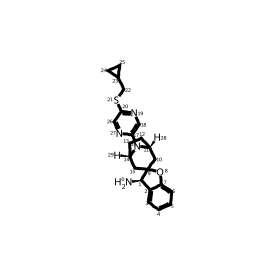 N[C@@H]1c2ccccc2OC12C[C@H]1CC[C@@H](C2)N1c1cnc(SCC2CC2)cn1